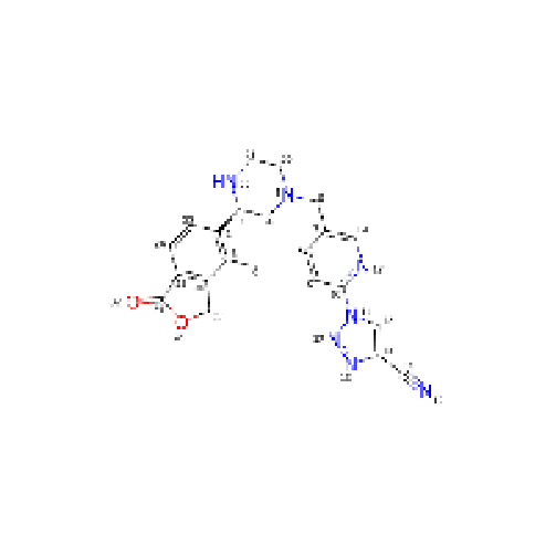 Cc1c([C@@H]2CN(Cc3ccc(-n4cc(C#N)nn4)nc3)CCN2)ccc2c1COC2=O